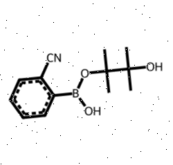 CC(C)(O)C(C)(C)OB(O)c1ccccc1C#N